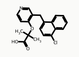 CC(C)(Oc1ccncc1Cc1ccc(Cl)c2ccccc12)C(=O)O